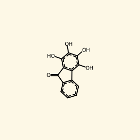 O=C1c2ccccc2-c2c(O)c(O)c(O)c(O)c21